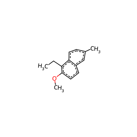 CCc1c(OC)ccc2cc(C)ccc12